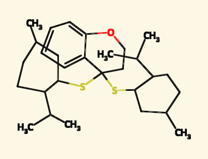 CC1CCC(C(C)C)C(SC2(SC3CC(C)CCC3C(C)C)CCOc3ccccc32)C1